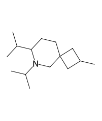 CC1CC2(CCC(C(C)C)N(C(C)C)C2)C1